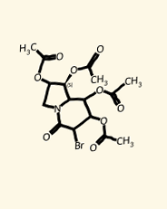 CC(=O)OC1C(Br)C(=O)N2CC(OC(C)=O)[C@@H](OC(C)=O)C2C1OC(C)=O